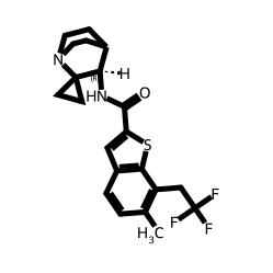 Cc1ccc2cc(C(=O)N[C@@H]3C4CCN(CC4)C34CC4)sc2c1CC(F)(F)F